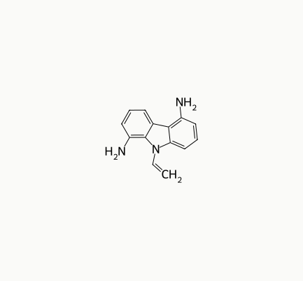 C=Cn1c2cccc(N)c2c2cccc(N)c21